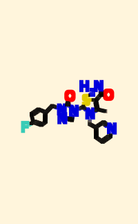 CC1=C(C(N)=O)SC(n2cnn(Cc3ccc(F)cc3)c2=O)N1Cc1cccnc1